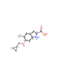 O=C(O)c1cc2cc(Cl)c(OCC3CC3)cc2[nH]1